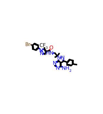 Cc1ccc(-c2nn(C(C)(C)CNC(=O)c3cnn(-c4ccc(Br)cc4)c3C(F)(F)F)c3ncnc(N)c23)cc1